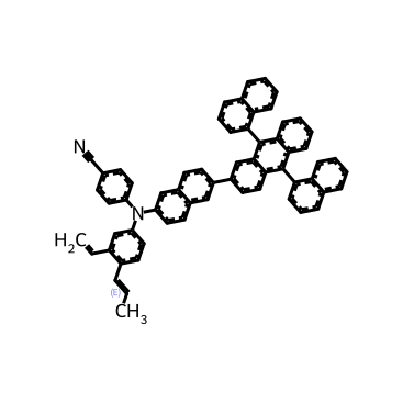 C=Cc1cc(N(c2ccc(C#N)cc2)c2ccc3cc(-c4ccc5c(-c6cccc7ccccc67)c6ccccc6c(-c6cccc7ccccc67)c5c4)ccc3c2)ccc1/C=C/C